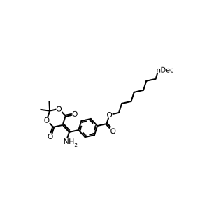 CCCCCCCCCCCCCCCCCOC(=O)c1ccc(C(N)=C2C(=O)OC(C)(C)OC2=O)cc1